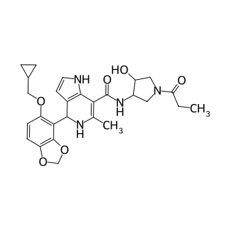 CCC(=O)N1CC(O)C(NC(=O)C2=C(C)NC(c3c(OCC4CC4)ccc4c3OCO4)c3cc[nH]c32)C1